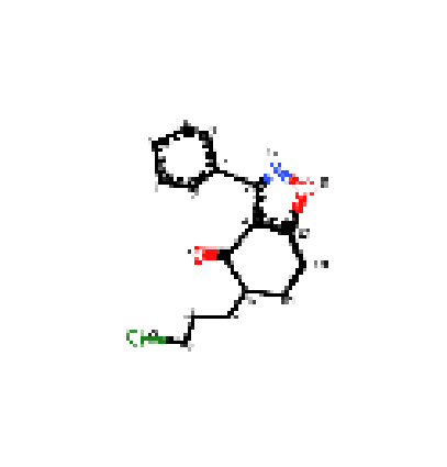 O=C1c2c(-c3ccccc3)noc2CCC1CCCCl